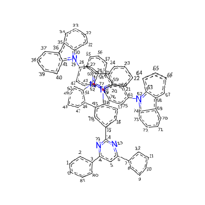 c1ccc(-c2cc(-c3ccccc3)nc(-c3ccc(-n4c5ccccc5c5cc(-n6c7ccccc7c7ccccc76)ccc54)c(-c4ccccc4-n4c5ccccc5c5cc(-n6c7ccccc7c7ccccc76)ccc54)c3)n2)cc1